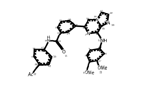 COc1ccc(Nc2nc(-c3cccc(C(=O)Nc4ccc(C(C)=O)cc4)c3)cn3ccnc23)cc1OC